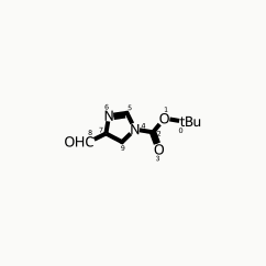 CC(C)(C)OC(=O)N1C=NC(C=O)C1